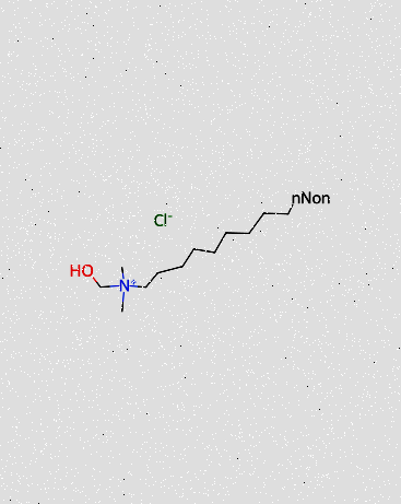 CCCCCCCCCCCCCCCCCC[N+](C)(C)CO.[Cl-]